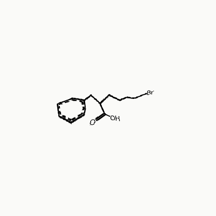 O=C(O)C(CCCCBr)Cc1ccccc1